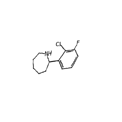 Fc1cccc(C2CCCCCN2)c1Cl